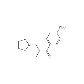 CCCCc1ccc(C(=O)C(C)CN2CCCC2)cc1